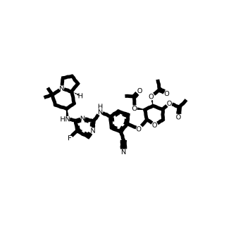 CC(=O)OC1COC(Oc2ccc(Nc3ncc(F)c(N[C@@H]4C[C@@H]5CCCN5C(C)(C)C4)n3)cc2C#N)[C@@H](OC(C)=O)[C@@H]1OC(C)=O